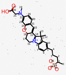 CC(CCCc1ccc2c(c1)C(C)(C)C1=[N+]2CCC2Oc3cc(N(C)CC(=O)O)ccc3C=C12)S(=O)(=O)[O-]